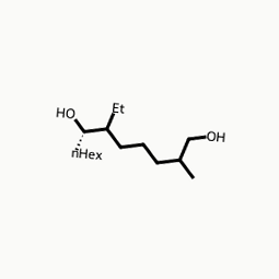 CCCCCC[C@H](O)C(CC)CCCC(C)CO